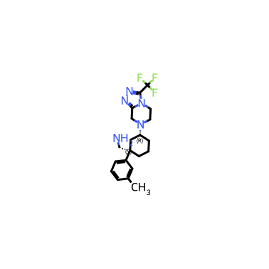 Cc1cccc([C@]2(CN)CCC[C@@H](N3CCn4c(nnc4C(F)(F)F)C3)C2)c1